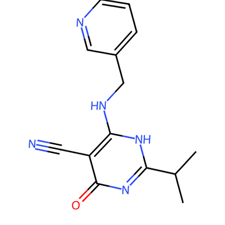 CC(C)c1nc(=O)c(C#N)c(NCc2cccnc2)[nH]1